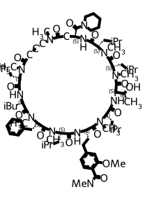 CCC(C)[C@@H]1NC(=O)[C@H](CC(C)C)N(C)C(=O)CCCN(C)C(=O)C[C@@H](C(=O)N2CCCCC2)NC(=O)[C@H](CC(C)C)N(C)C(=O)[C@H](CC(C)C)N(C)C(=O)[C@H]([C@@H](C)O)NC(=O)[C@H](CC(C)C)N(C)C(=O)[C@H](CCc2ccc(C(=O)NC)c(OC)c2)NC(=O)[C@H](CC(C)C)N(C)C(=O)[C@H](Cc2ccccc2)N(C)C1=O